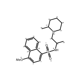 COc1ccc(S(=O)(=O)NC(C)CN2CCCCC2C)c2ccccc12